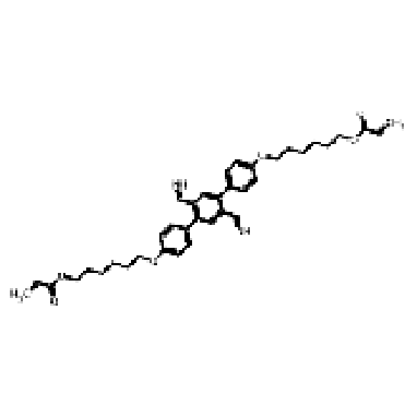 C=CC(=O)OCCCCCCOc1ccc(-c2cc(C=N)c(-c3ccc(OCCCCCCOC(=O)C=C)cc3)cc2C=N)cc1